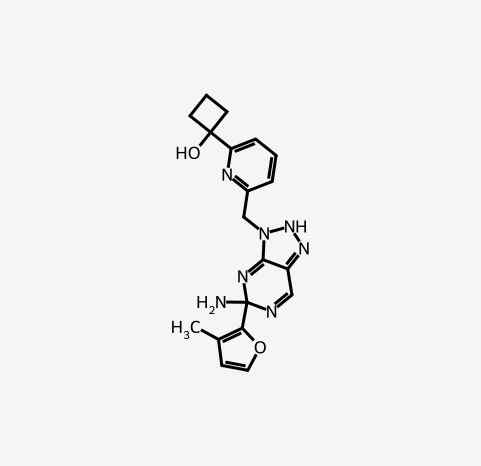 Cc1ccoc1C1(N)N=CC2=NNN(Cc3cccc(C4(O)CCC4)n3)C2=N1